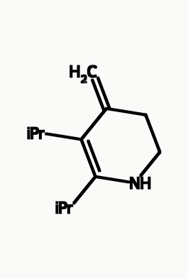 C=C1CCNC(C(C)C)=C1C(C)C